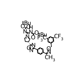 CC(=NOCc1cc(C(F)(F)F)cc(C(F)(F)F)c1)c1ccc(-c2noc([C@@H]3CCN(C(=NC(=O)OC(C)(C)C)NC(=O)OC(C)(C)C)C3)n2)cc1